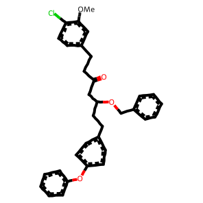 COc1cc(CCC(=O)CC(CCc2ccc(Oc3ccccc3)cc2)OCc2ccccc2)ccc1Cl